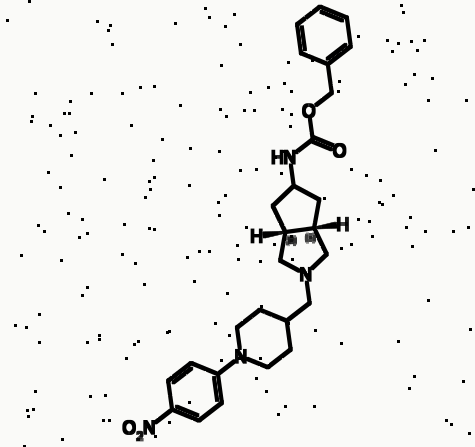 O=C(NC1C[C@@H]2CN(CC3CCN(c4ccc([N+](=O)[O-])cc4)CC3)C[C@@H]2C1)OCc1ccccc1